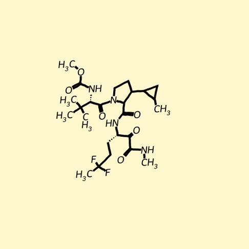 CNC(=O)C(=O)[C@H](CCC(C)(F)F)NC(=O)C1C(C2CC2C)CCN1C(=O)[C@@H](NC(=O)OC)C(C)(C)C